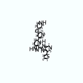 c1csc(-c2cncc3[nH]c(-c4n[nH]c5ccc(-c6cncc(OC7CCNCC7)c6)nc45)nc23)c1